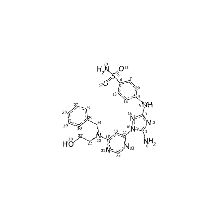 Nc1nc(Nc2ccc(S(N)(=O)=O)cc2)nn1-c1cc(N(CCO)Cc2ccccc2)ncn1